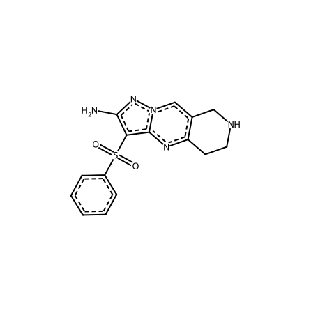 Nc1nn2cc3c(nc2c1S(=O)(=O)c1ccccc1)CCNC3